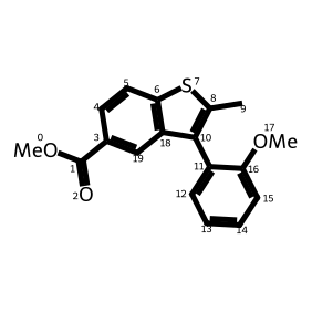 COC(=O)c1ccc2sc(C)c(-c3ccccc3OC)c2c1